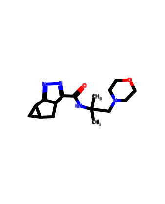 CC(C)(CN1CCOCC1)NC(=O)C1=NN=C2C1CC1CC21